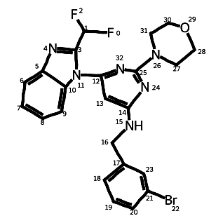 FC(F)c1nc2ccccc2n1-c1cc(NCc2cccc(Br)c2)nc(N2CCOCC2)n1